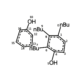 CCCCc1ccc(O)c(CCCC)c1CCCC.Oc1ccccc1